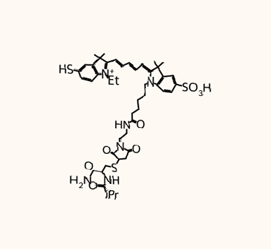 CC[N+]1=C(/C=C/C=C/C=C2\N(CCCCCC(=O)NCCN3C(=O)CC(SCC(NC(=O)C(C)C)C(N)=O)C3=O)c3ccc(S(=O)(=O)O)cc3C2(C)C)C(C)(C)c2cc(S)ccc21